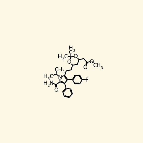 COC(=O)CC1CC(CCc2c(-c3ccc(F)cc3)c(-c3ccccc3)c(C(N)=O)n2C(C)C)OC(C)(C)O1